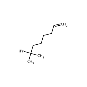 [CH2]C(C)C(C)(C)CCCCC=C